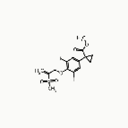 C=C(COc1c(I)cc(C2(C(=O)OC)CC2)cc1I)S(C)(=O)=O